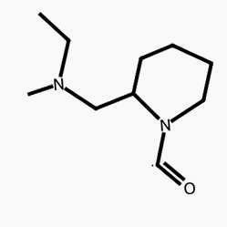 CCN(C)CC1CCCCN1[C]=O